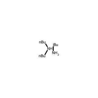 CCC(C)N.CCCCNCCCC